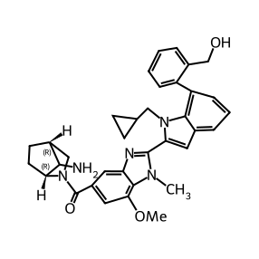 COc1cc(C(=O)N2C[C@H]3CC[C@@H]2C3N)cc2nc(-c3cc4cccc(-c5ccccc5CO)c4n3CC3CC3)n(C)c12